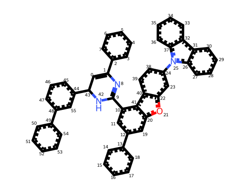 C1=C(c2ccccc2)N=C(c2cc(-c3ccccc3)cc3oc4cc(-n5c6ccccc6c6ccccc65)ccc4c23)NC1c1cccc(-c2ccccc2)c1